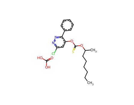 CCCCCCC(C)OC(=S)Oc1cc(Cl)nnc1-c1ccccc1.O=C(O)O